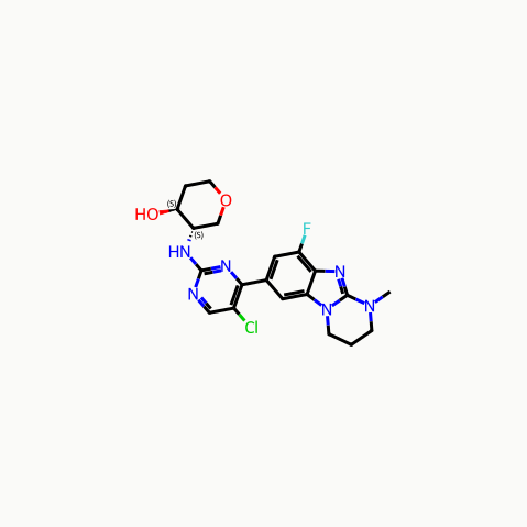 CN1CCCn2c1nc1c(F)cc(-c3nc(N[C@H]4COCC[C@@H]4O)ncc3Cl)cc12